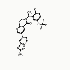 CC(c1cc(OC(F)(F)F)ccc1F)N1CCc2ncc(-c3ccn4nc(N)nc4c3)cc2C1=O